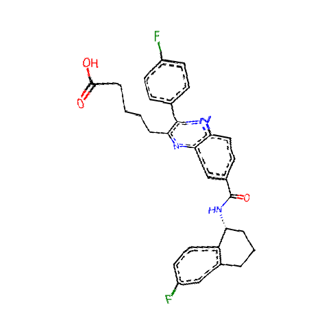 O=C(O)CCCCc1nc2cc(C(=O)N[C@@H]3CCCc4cc(F)ccc43)ccc2nc1-c1ccc(F)cc1